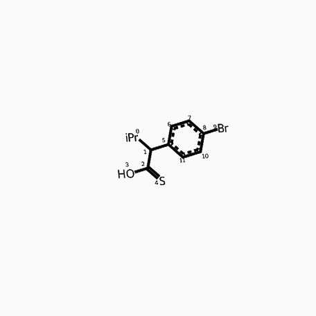 CC(C)C(C(O)=S)c1ccc(Br)cc1